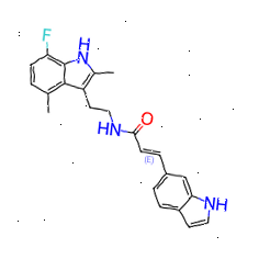 Cc1[nH]c2c(F)ccc(C)c2c1CCNC(=O)/C=C/c1ccc2cc[nH]c2c1